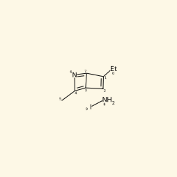 CCc1cc2c(C)nc1-2.NI